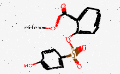 CCCCCCOC(=O)c1ccccc1OS(=O)(=O)c1ccc(O)cc1